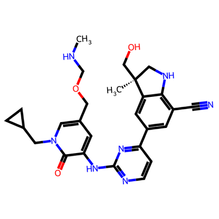 CNCOCc1cc(Nc2nccc(-c3cc(C#N)c4c(c3)[C@@](C)(CO)CN4)n2)c(=O)n(CC2CC2)c1